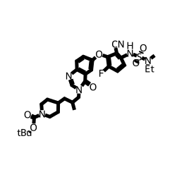 CCN(C)S(=O)(=O)Nc1ccc(F)c(Oc2ccc3ncn(CC(C)CC4CCN(C(=O)OC(C)(C)C)CC4)c(=O)c3c2)c1C#N